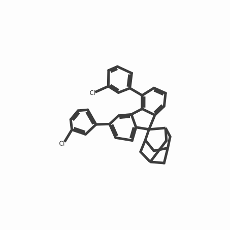 Clc1cccc(-c2ccc3c(c2)-c2c(-c4cccc(Cl)c4)cccc2C32C3CC4CC(C3)CC2C4)c1